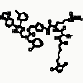 Cc1cccc(-c2nc(CN(Cc3ccccc3Cl)C(=O)OCc3ccc(NC(=O)C(CCCNC(N)=O)NC(=O)C(NC(=O)CCCCCN4C(=O)C=CC4=O)C(C)C)cc3)[nH]c2-c2ccc3ncnn3c2)n1